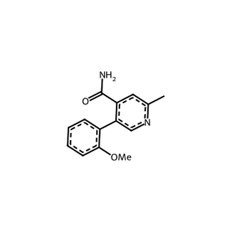 COc1ccccc1-c1cnc(C)cc1C(N)=O